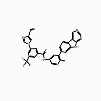 Cc1ncc(NC(=O)c2cc(-n3cnc(C=O)c3)cc(C(F)(F)F)c2)cc1-c1ccc2c(c1)[nH]c1ncncc12